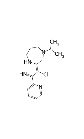 CC(C)N1CCCN/C(=C(/Cl)C(=N)c2ccccn2)C1